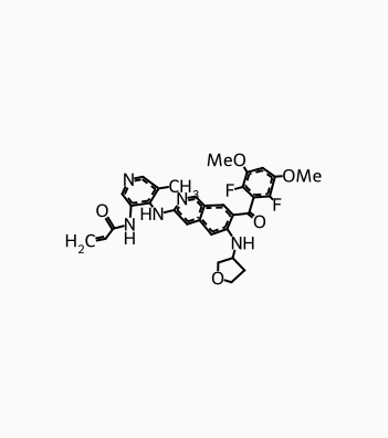 C=CC(=O)Nc1cncc(C)c1Nc1cc2cc(NC3CCOC3)c(C(=O)c3c(F)c(OC)cc(OC)c3F)cc2cn1